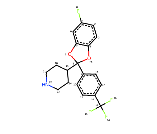 Fc1ccc2c(c1)OC(c1ccc(C(F)(F)F)cc1)(C1CCNCC1)O2